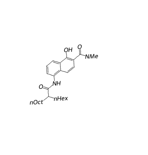 CCCCCCCCC(CCCCCC)C(=O)Nc1cccc2c(O)c(C(=O)NC)ccc12